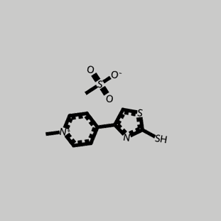 CS(=O)(=O)[O-].C[n+]1ccc(-c2csc(S)n2)cc1